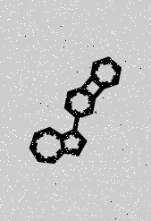 [c]1c(-c2ccc3cccccc2-3)ccc2c1-c1ccccc1-2